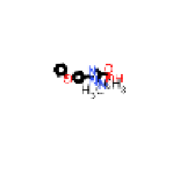 CN(C)c1nc(-c2ccc(Oc3ccccc3)cc2)ncc1C(=O)O